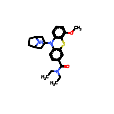 CCN(CC)C(=O)c1ccc2c(c1)Sc1c(OC)cccc1N2C1CC2CCC(C1)N2